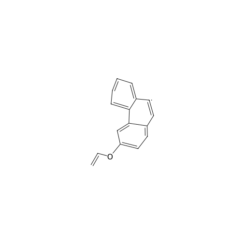 C=COc1ccc2c[c]c3ccccc3c2c1